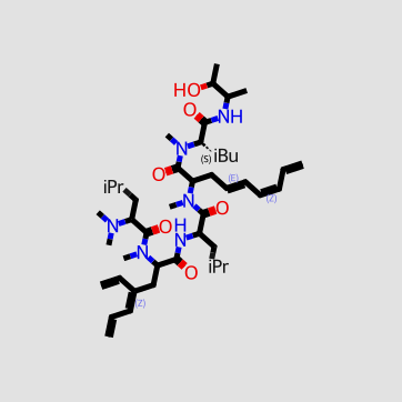 C=C/C=C\C=C\CC(C(=O)N(C)C(C(=O)NC(C)C(C)O)[C@@H](C)CC)N(C)C(=O)C(CC(C)C)NC(=O)C(C/C(C=C)=C/C=C)N(C)C(=O)C(CC(C)C)N(C)C